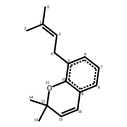 CC(C)=CCc1cccc2c1OC(C)(C)C=C2